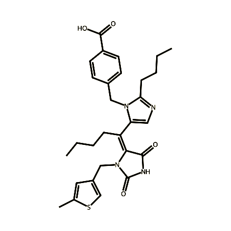 CCCCC(=C1C(=O)NC(=O)N1Cc1csc(C)c1)c1cnc(CCCC)n1Cc1ccc(C(=O)O)cc1